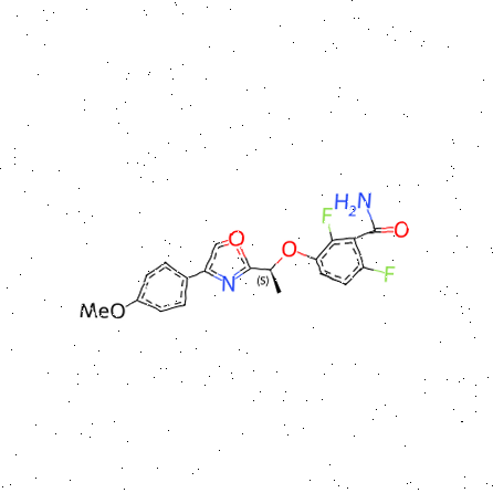 COc1ccc(-c2coc([C@H](C)Oc3ccc(F)c(C(N)=O)c3F)n2)cc1